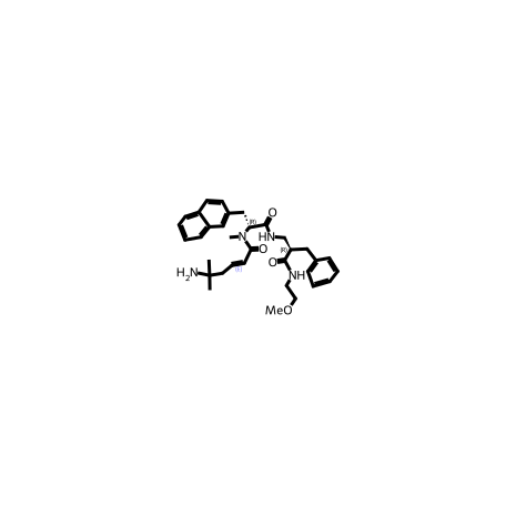 COCCNC(=O)[C@@H](CNC(=O)[C@@H](Cc1ccc2ccccc2c1)N(C)C(=O)/C=C/CC(C)(C)N)Cc1ccccc1